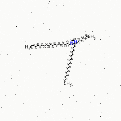 CCCCCCCCCCCCCCCCCCCC1N(CCCCCCC)C=CN1CCCCCCCCCCCCCCCCCCC